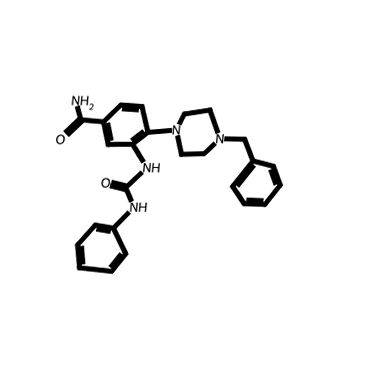 NC(=O)c1ccc(N2CCN(Cc3ccccc3)CC2)c(NC(=O)Nc2ccccc2)c1